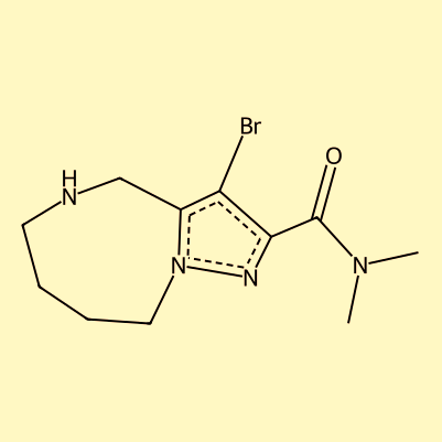 CN(C)C(=O)c1nn2c(c1Br)CNCCCC2